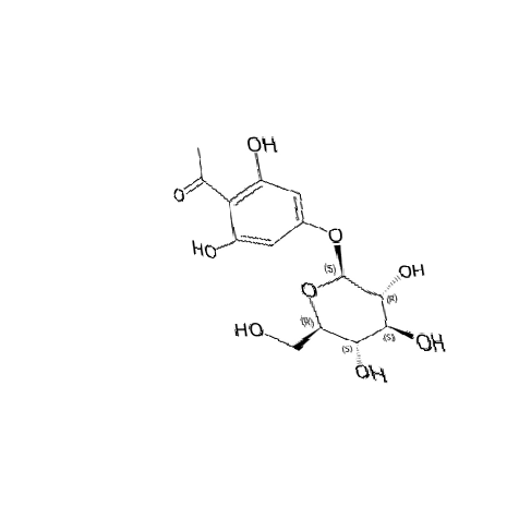 CC(=O)c1c(O)cc(O[C@@H]2O[C@H](CO)[C@@H](O)[C@H](O)[C@H]2O)cc1O